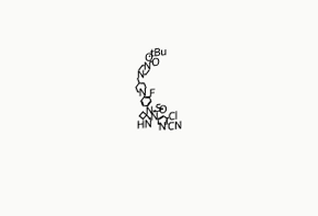 CC(C)(C)OC(=O)N1CCN(CC2CCN(c3ccc(N4C(=S=O)N(c5cnc(C#N)c(Cl)c5)C(=N)C45CCC5)cc3F)CC2)CC1